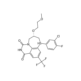 COCCO[C@H]1Cn2c(=O)[nH]c(=O)c3cc(C(F)(F)F)cc(c32)[SH](c2ccc(F)c(Cl)c2)C1